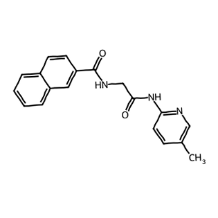 Cc1ccc(NC(=O)CNC(=O)c2ccc3ccccc3c2)nc1